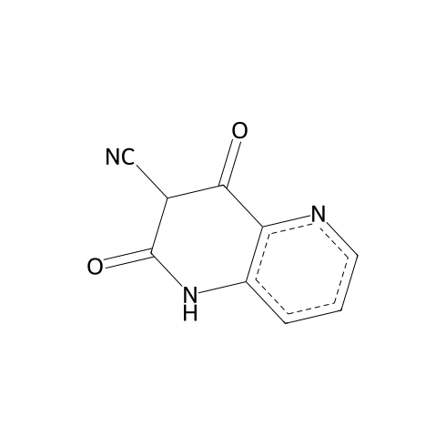 N#CC1C(=O)Nc2cccnc2C1=O